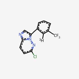 [2H]c1c(-c2cnc3ccc(Cl)nn23)cccc1C(F)(F)F